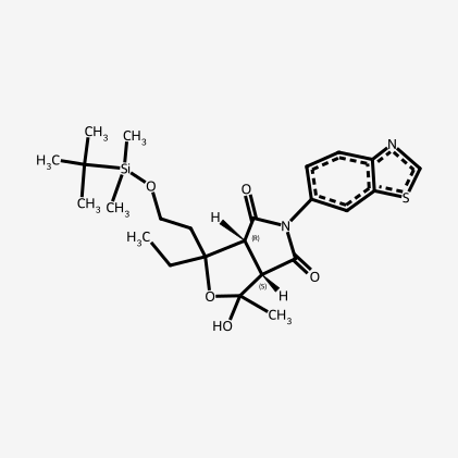 CCC1(CCO[Si](C)(C)C(C)(C)C)OC(C)(O)[C@H]2C(=O)N(c3ccc4ncsc4c3)C(=O)[C@H]21